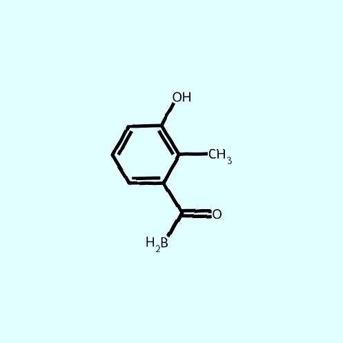 BC(=O)c1cccc(O)c1C